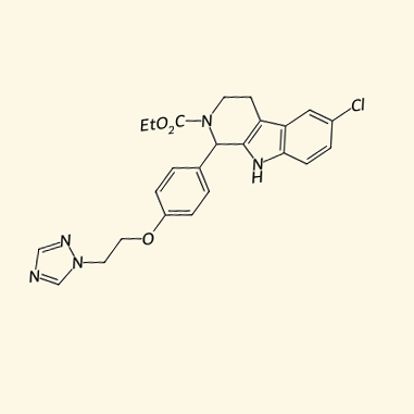 CCOC(=O)N1CCc2c([nH]c3ccc(Cl)cc23)C1c1ccc(OCCn2cncn2)cc1